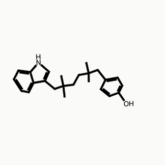 CC(C)(CCC(C)(C)Cc1c[nH]c2ccccc12)Cc1ccc(O)cc1